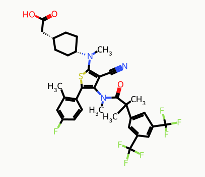 Cc1cc(F)ccc1-c1sc(N(C)[C@H]2CC[C@@H](CC(=O)O)CC2)c(C#N)c1N(C)C(=O)C(C)(C)c1cc(C(F)(F)F)cc(C(F)(F)F)c1